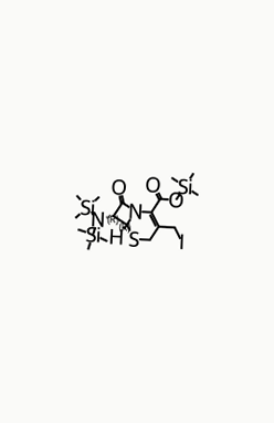 C[Si](C)(C)OC(=O)C1=C(CI)CS[C@@H]2[C@H](N([Si](C)(C)C)[Si](C)(C)C)C(=O)N12